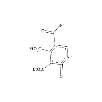 CCOC(=O)c1c(C(=O)C(C)C)c[nH]c(=O)c1C(=O)OCC